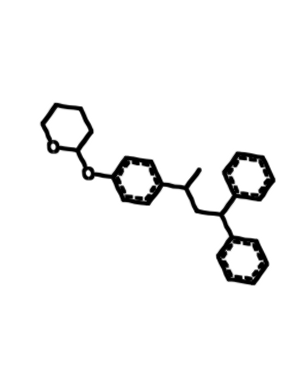 CC(CC(c1ccccc1)c1ccccc1)c1ccc(OC2CCCCO2)cc1